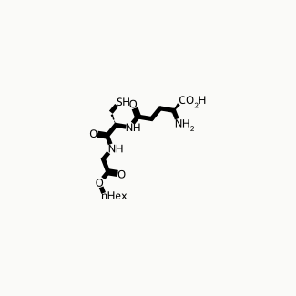 CCCCCCOC(=O)CNC(=O)[C@H](CS)NC(=O)CC[C@H](N)C(=O)O